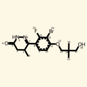 CC1CC(=O)NN=C1c1ccc(OCC(C)(C)CO)c(Br)c1F